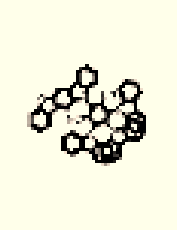 N#Cc1c(-n2c3ccccc3c3cc4oc5ccccc5c4cc32)c(C#N)c(-n2c3ccccc3c3ccccc32)c(-n2c3ccccc3c3ccccc32)c1-n1c2ccccc2c2ccccc21